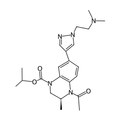 CC(=O)N1c2ccc(-c3cnn(CCN(C)C)c3)cc2N(C(=O)OC(C)C)C[C@@H]1C